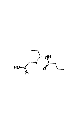 CCCC(=O)NC(CC)SCC(=O)O